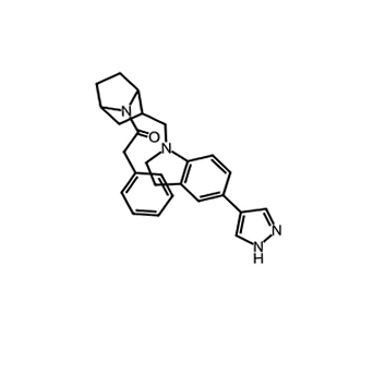 O=C(Cc1ccccc1)N1C2CCC1C(CN1CCc3cc(-c4cn[nH]c4)ccc31)C2